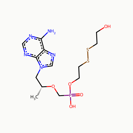 C[C@H](Cn1cnc2c(N)ncnc21)OCP(=O)(O)OCCSSCCO